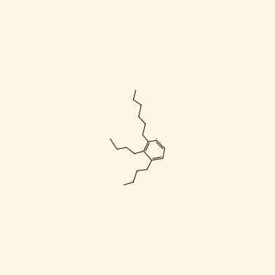 CCCCCCc1[c]ccc(CCCC)c1CCCC